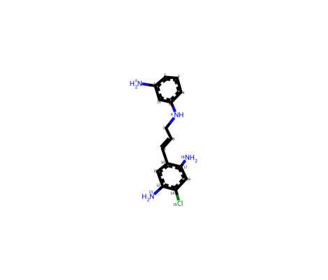 Nc1cccc(NCC=Cc2cc(N)c(Cl)cc2N)c1